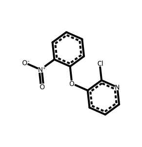 O=[N+]([O-])c1ccccc1Oc1cccnc1Cl